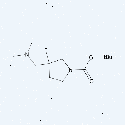 CN(C)CC1(F)CCN(C(=O)OC(C)(C)C)C1